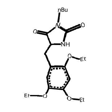 CCCCN1C(=O)NC(Cc2cc(OCC)c(OCC)cc2OCC)C1=O